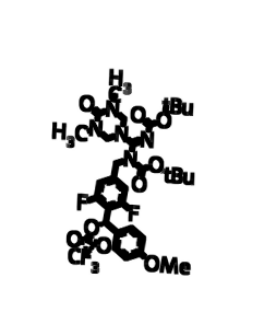 COc1ccc([C@@H](OS(=O)(=O)C(F)(F)F)c2c(F)cc(CN(C(=O)OC(C)(C)C)/C(=N/C(=O)OC(C)(C)C)N3CN(C)C(=O)N(C)C3)cc2F)cc1